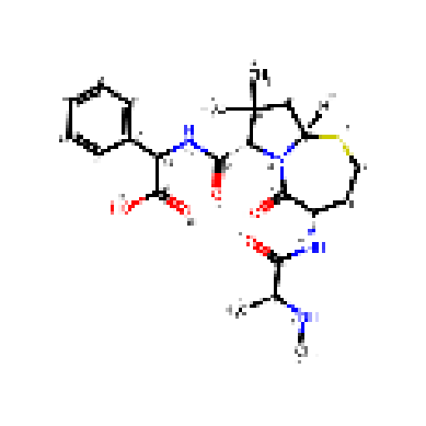 CN[C@@H](C)C(=O)N[C@H]1CCS[C@H]2CC(C)(C)[C@@H](C(=O)NC(C(=O)O)c3ccccc3)N2C1=O